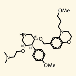 COCCCN1CCOc2ccc(CO[C@H]3CNC[C@@H](OCCN(C)C)[C@@H]3c3ccc(OC)cc3)cc21